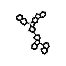 c1ccc2c(c1)Cc1cc3c(cc1-2)c1cc(-c2ccc4c(c2)-c2ccccc2C4c2cccc4ccccc24)ccc1n3-c1ccc2ccccc2c1